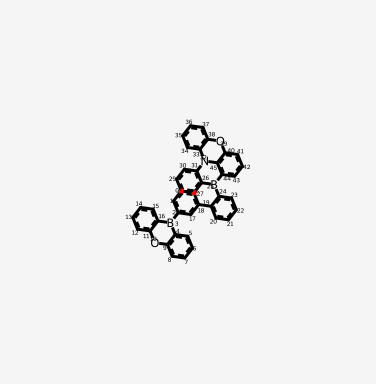 c1cc(B2c3ccccc3Oc3ccccc32)cc(-c2ccccc2B2c3ccccc3N3c4ccccc4Oc4cccc2c43)c1